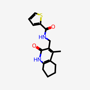 Cc1c2c([nH]c(=O)c1CNC(=O)c1cccs1)CCCC2